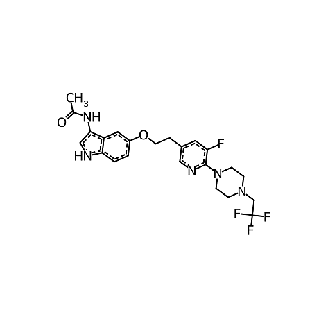 CC(=O)Nc1c[nH]c2ccc(OCCc3cnc(N4CCN(CC(F)(F)F)CC4)c(F)c3)cc12